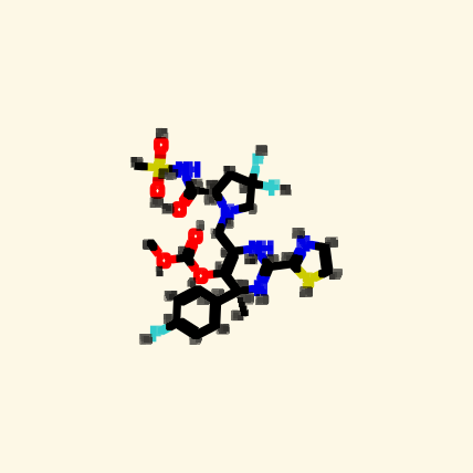 COC(=O)OC1=C(CN2CC(F)(F)C[C@H]2C(=O)NS(C)(=O)=O)NC(c2nccs2)=N[C@@]1(C)c1ccc(F)cc1